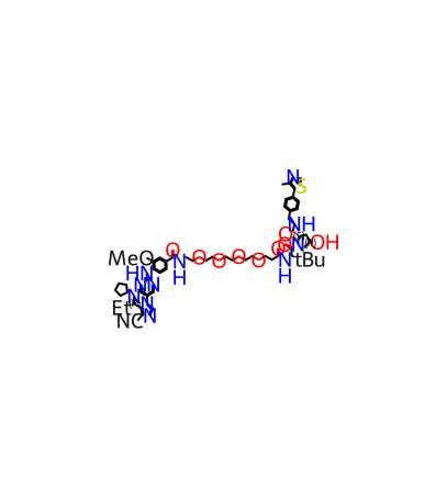 CC[C@@H]1c2c(C#N)ncn2-c2cnc(Nc3ccc(C(=O)NCCOCCOCCOCCOCCC(=O)NC(C(=O)N4C[C@H](O)C[C@H]4C(=O)NCc4ccc(-c5scnc5C)cc4)C(C)(C)C)cc3OC)nc2N1C1CCCC1